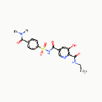 CCN(CC)C(=O)c1ccc(S(=O)(=O)NC(=O)c2cnc(C(=O)NCC(=O)O)c(O)c2)cc1